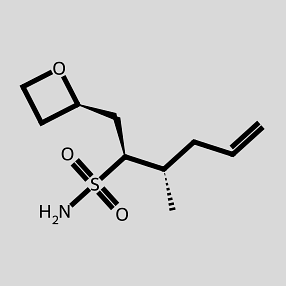 C=CC[C@H](C)[C@H](C[C@H]1CCO1)S(N)(=O)=O